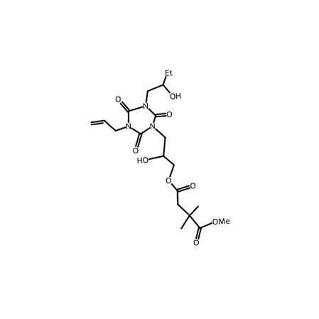 C=CCn1c(=O)n(CC(O)CC)c(=O)n(CC(O)COC(=O)CC(C)(C)C(=O)OC)c1=O